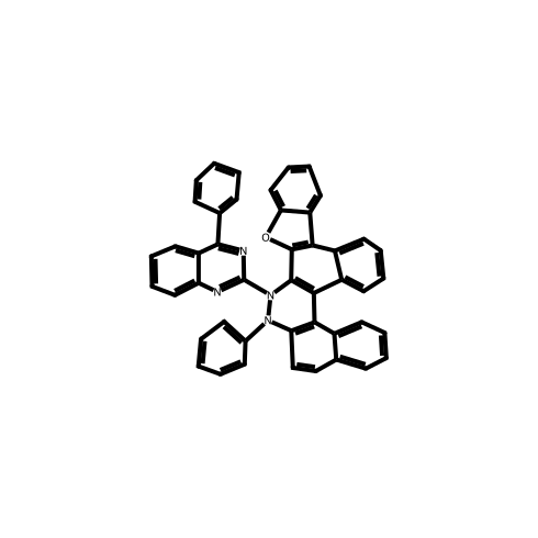 c1ccc(-c2nc(N3c4c(c5ccccc5c5c4oc4ccccc45)-c4c(ccc5ccccc45)N3c3ccccc3)nc3ccccc23)cc1